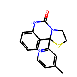 Cc1ccnc(C23SCCN2C(=O)Nc2ccccc23)c1